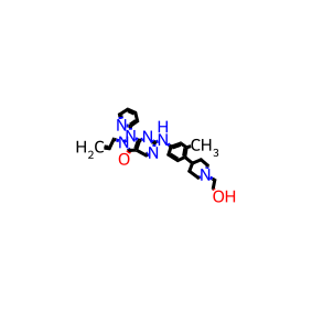 C=CCn1c(=O)c2cnc(Nc3ccc(C4CCN(CCO)CC4)c(C)c3)nc2n1-c1ccccn1